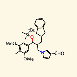 COc1cc([C@@H](O[Si](C)(C)C(C)(C)C)[C@@H](CC2Cc3ccccc3C2)Cn2ccc(C=O)c2)cc(OC)c1C